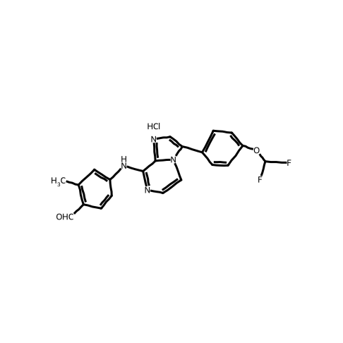 Cc1cc(Nc2nccn3c(-c4ccc(OC(F)F)cc4)cnc23)ccc1C=O.Cl